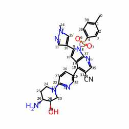 Cc1ccc(S(=O)(=O)n2c(-c3cnn(C)c3)cc3c(-c4ccc(N5CC[C@H](N)[C@H](O)C5)nc4)c(C#N)cnc32)cc1